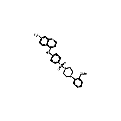 COc1ccccc1N1CCN(S(=O)(=O)c2ccc(Nc3ccnc4cc(C(F)(F)F)ccc34)cc2)CC1